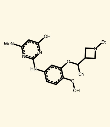 CCN1CC(C(C#N)Oc2cc(Nc3nc(O)cc(NC)n3)ccc2OO)C1